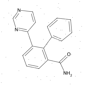 NC(=O)c1cccc(-c2ccncn2)c1-c1ccccc1